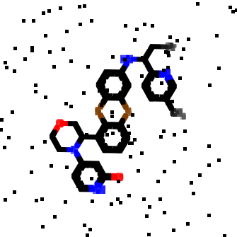 Cc1ccc(C(CC(C)C)Nc2ccc3c(c2)Sc2cccc(C4COCCN4c4cc[nH]c(=O)c4)c2S3)nc1